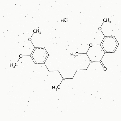 COc1ccc(CCN(C)CCCN2C(=O)c3cccc(OC)c3OC2C)cc1OC.Cl